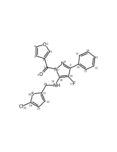 O=C(c1ccoc1)n1nc(-c2ccccc2)c(F)c1NCc1ccc(Cl)s1